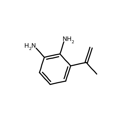 C=C(C)c1cccc(N)c1N